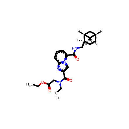 CCOC(=O)CN(CC)C(=O)c1cn2c(C(=O)NC[C@@H]3CC[C@H]4C[C@@H]3C4(C)C)cccc2n1